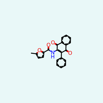 Cc1ccc(C(=O)NC2=C(c3ccccc3)C(=O)c3ccccc3C2=O)o1